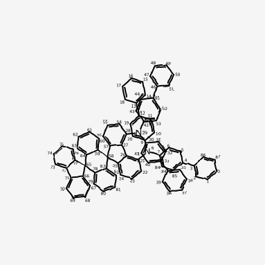 c1ccc(-c2ccc(N(c3ccc(-c4ccccc4)cc3)c3cccc4c3-c3c(N(c5ccc(-c6ccccc6)cc5)c5ccc(-c6ccccc6)cc5)cccc3C43c4ccccc4C4(c5ccccc5-c5ccccc54)c4ccccc43)cc2)cc1